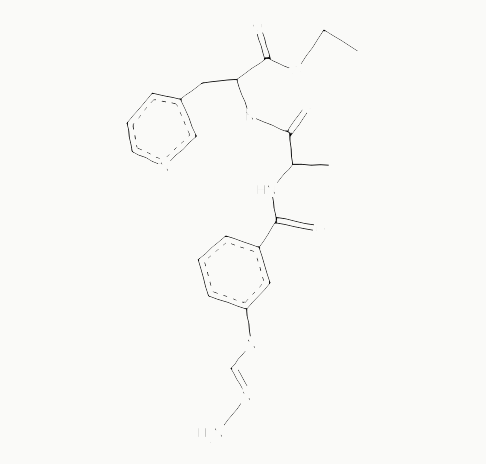 CCOC(=O)C(Cc1cccnc1)NC(=O)C(C)NC(=O)c1cccc(NC=NN)c1